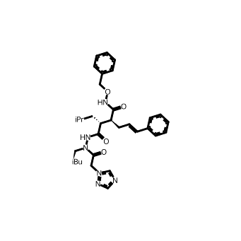 CC[C@H](C)CN(NC(=O)[C@H](CC(C)C)[C@H](CC=Cc1ccccc1)C(=O)NOCc1ccccc1)C(=O)Cn1cncn1